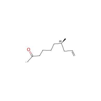 [CH2]C(=O)CCCC[C@@H](C)CC=C